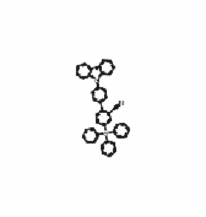 N#Cc1cc([Si](c2ccccc2)(c2ccccc2)c2ccccc2)ccc1-c1ccc(-n2c3ccccc3c3ccccc32)cc1